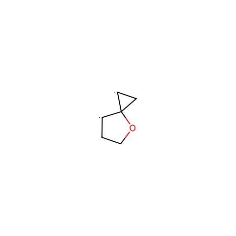 [CH]1CCOC12[CH]C2